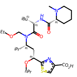 CCCO[C@H](C[C@H](C(C)C)N(COCC)C(=O)[C@@H](NC(=O)[C@H]1CCCCN1C)[C@@H](C)CC)c1nc(C(=O)O)cs1